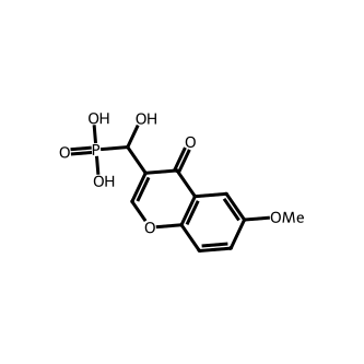 COc1ccc2occ(C(O)P(=O)(O)O)c(=O)c2c1